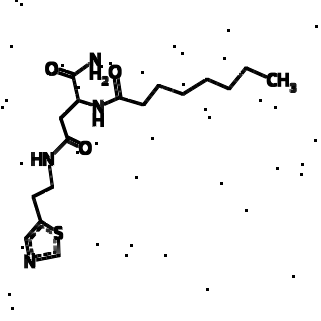 CCCCCCCC(=O)NC(CC(=O)NCCc1cncs1)C(N)=O